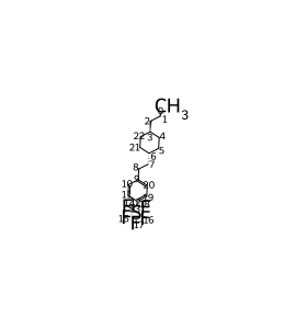 CCC[C@H]1CC[C@H](CCc2ccc(S(F)(F)(F)(F)F)cc2)CC1